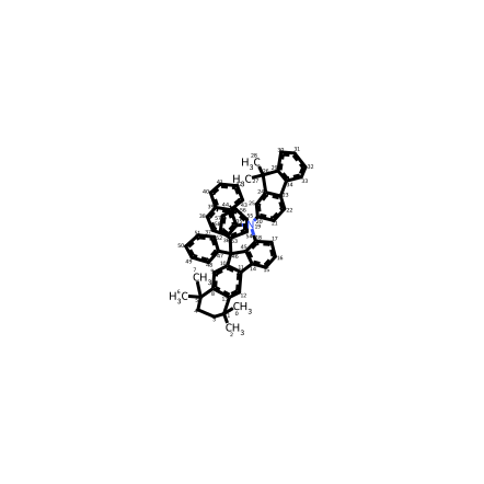 CC1(C)CCC(C)(C)c2cc3c(cc21)-c1cccc(N(c2ccc4c(c2)C(C)(C)c2ccccc2-4)c2cccc4ccccc24)c1C3(c1ccccc1)c1ccccc1